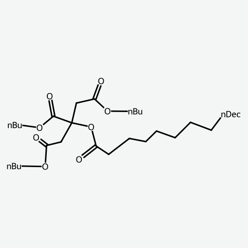 CCCCCCCCCCCCCCCCCC(=O)OC(CC(=O)OCCCC)(CC(=O)OCCCC)C(=O)OCCCC